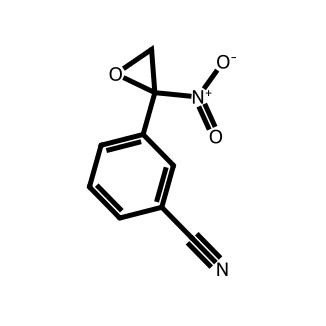 N#Cc1cccc(C2([N+](=O)[O-])CO2)c1